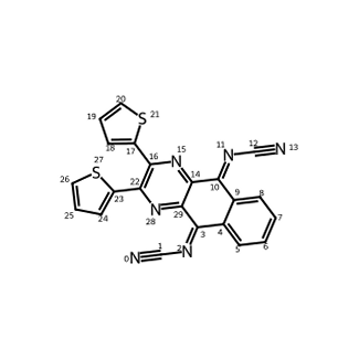 N#C/N=C1/c2ccccc2/C(=N\C#N)c2nc(-c3cccs3)c(-c3cccs3)nc21